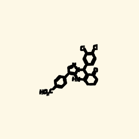 O=C1CCCC2=C1C(c1ccc(Cl)c(Cl)c1)n1ncc(-c3ccc(C(=O)O)cc3)c1N2